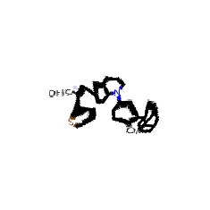 COc1ccc(N2CCCc3cc(/C=C(/C=O)c4cccs4)ccc32)cc1C12CC3CC(CC(C3)C1)C2